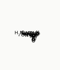 CN(Cc1nc2c(N3CCOCC3)nc(-c3cccnc3)nc2n1C)c1ncc(C(=O)ON)cn1